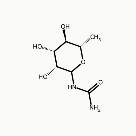 C[C@@H]1OC(NC(N)=O)[C@H](O)[C@H](O)[C@H]1O